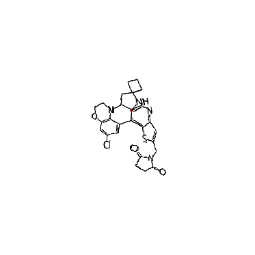 O=C1CCC(=O)N1Cc1cc2nccc(-c3cc(Cl)cc4c3N(C3CNC5(CCC5)C3)CCO4)c2s1